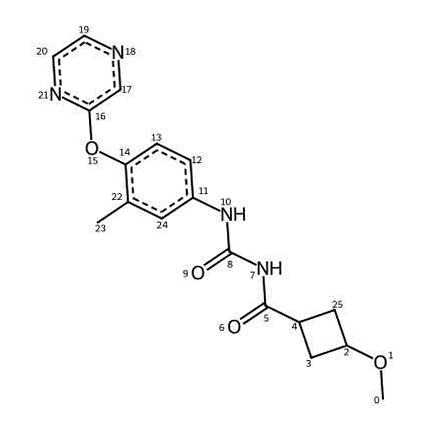 COC1CC(C(=O)NC(=O)Nc2ccc(Oc3cnccn3)c(C)c2)C1